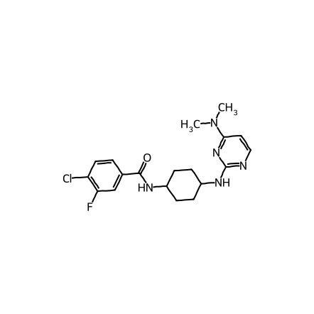 CN(C)c1ccnc(NC2CCC(NC(=O)c3ccc(Cl)c(F)c3)CC2)n1